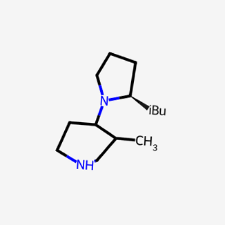 CCC(C)[C@@H]1CCCN1C1CCNCC1C